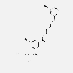 C#Cc1cccc(CNC[C@@H](O)CNC(=O)c2cc(C#C)cc(C(=O)N(CCC)CCC)c2)c1